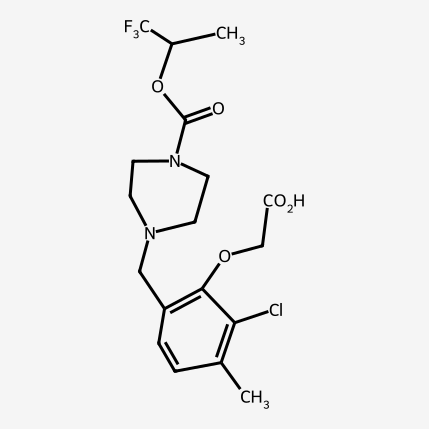 Cc1ccc(CN2CCN(C(=O)OC(C)C(F)(F)F)CC2)c(OCC(=O)O)c1Cl